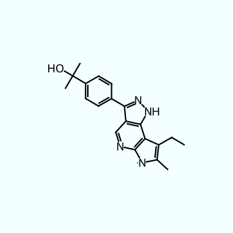 CCC1=C(C)[N]c2ncc3c(-c4ccc(C(C)(C)O)cc4)n[nH]c3c21